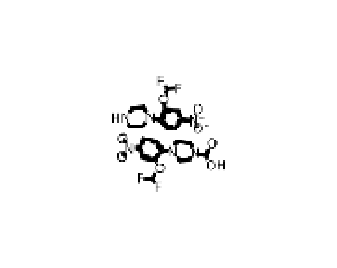 O=C(O)N1CCN(c2ccc([N+](=O)[O-])cc2OC(F)F)CC1.O=[N+]([O-])c1ccc(N2CCNCC2)c(OC(F)F)c1